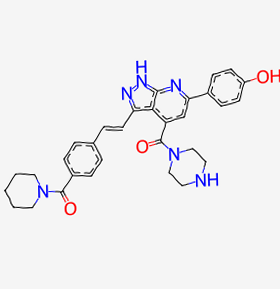 O=C(c1ccc(/C=C/c2n[nH]c3nc(-c4ccc(O)cc4)cc(C(=O)N4CCNCC4)c23)cc1)N1CCCCC1